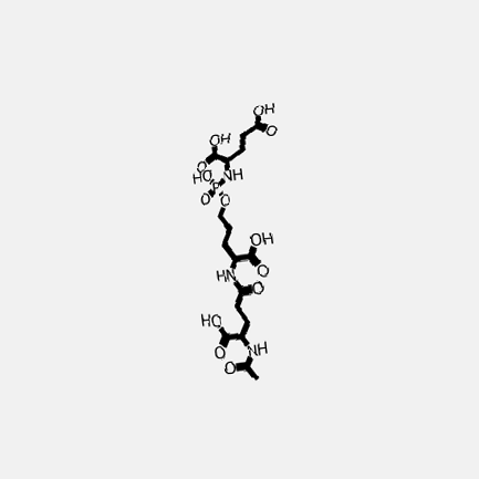 CC(=O)NC(CCC(=O)NC(CCCOP(=O)(O)NC(CCC(=O)O)C(=O)O)C(=O)O)C(=O)O